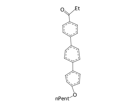 CCCCCOc1ccc(-c2ccc(-c3ccc(C(=O)CC)cc3)cc2)cc1